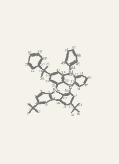 CC(C)(C)c1ccc2c(c1)c1cc(C(C)(C)C)cc3c1n2-c1cc(C(C)(C)c2ccccc2)cc2c1B3c1ccccc1N2c1ccccc1